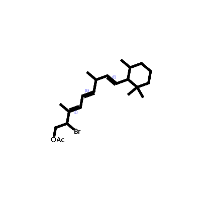 CC(=O)OCC(Br)/C(C)=C/C=C/C(C)/C=C/C1C(C)CCCC1(C)C